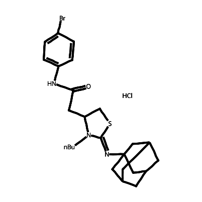 CCCCN1C(=NC23CC4CC(CC(C4)C2)C3)SCC1CC(=O)Nc1ccc(Br)cc1.Cl